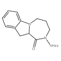 CCCCCCN1CCCN2c3ccccc3CC2C1=O